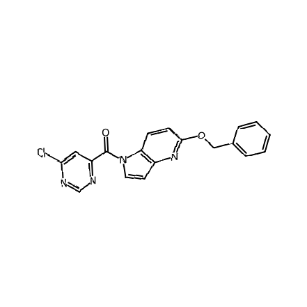 O=C(c1cc(Cl)ncn1)n1ccc2nc(OCc3ccccc3)ccc21